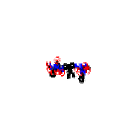 CCCCCC1(CCCCC)c2cc(NC(=O)[C@@H]3CC4(CN3C(=O)[CH]c3ccccc3)OCCO4)ccc2-c2ccc(N(C(=O)O)[C@H]3CC(=O)CN3C(=O)[C@H](NC(=O)OC)c3ccccc3)cc21